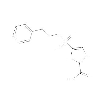 NC(=O)C1OC=C(S(=O)(=O)OCCc2ccccc2)O1